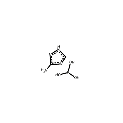 Nc1nc[nH]n1.OP(O)O